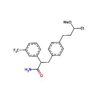 CCC(CCc1ccc(CC(C(N)=O)c2cccc(C(F)(F)F)c2)cc1)OC